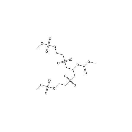 COC(=O)OC(CS(=O)(=O)CCOS(=O)(=O)OC)CS(=O)(=O)CCOS(=O)(=O)OC